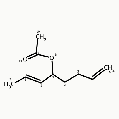 C=CCCC(C=CC)OC(C)=O